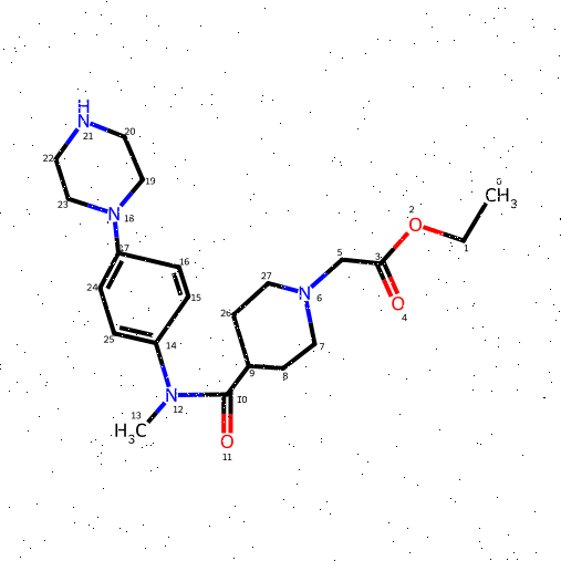 CCOC(=O)CN1CCC(C(=O)N(C)c2ccc(N3CCNCC3)cc2)CC1